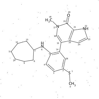 CSc1ccc(NC2CCCCCC2)c(-c2cn(C)c(=O)c3[nH]ccc23)c1